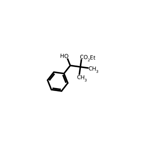 CCOC(=O)C(C)(C)C(O)c1ccccc1